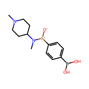 CN1CCC(N(C)[S+]([O-])c2ccc(B(O)O)cc2)CC1